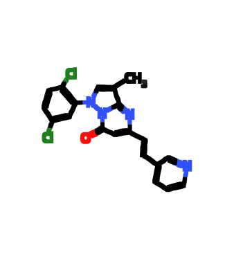 Cc1cn(-c2cc(Cl)ccc2Cl)n2c(=O)cc(/C=C/c3cccnc3)nc12